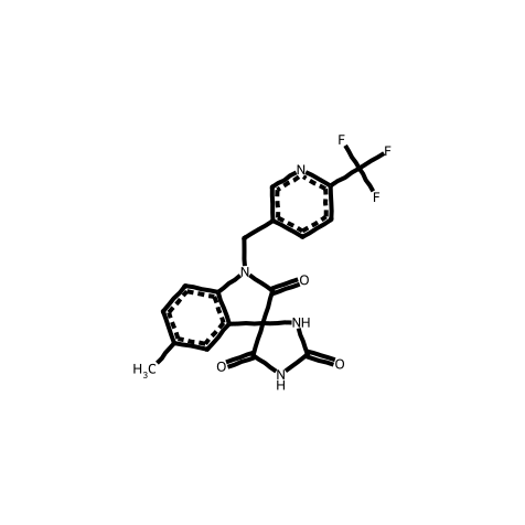 Cc1ccc2c(c1)C1(NC(=O)NC1=O)C(=O)N2Cc1ccc(C(F)(F)F)nc1